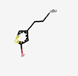 CCCCCCc1csc(Br)c1